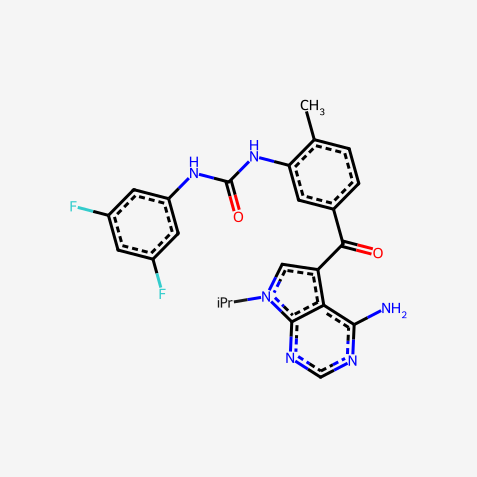 Cc1ccc(C(=O)c2cn(C(C)C)c3ncnc(N)c23)cc1NC(=O)Nc1cc(F)cc(F)c1